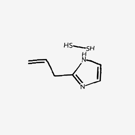 C=CCc1ncc[nH]1.SS